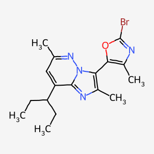 CCC(CC)c1cc(C)nn2c(-c3oc(Br)nc3C)c(C)nc12